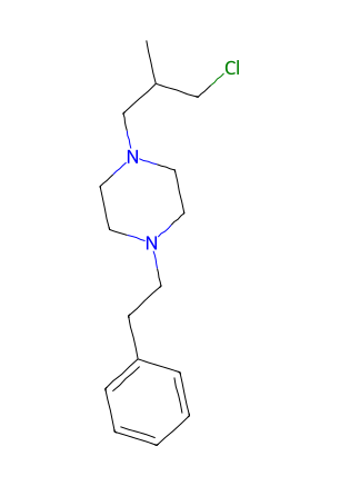 CC(CCl)CN1CCN(CCc2ccccc2)CC1